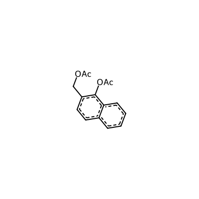 CC(=O)OCc1ccc2ccccc2c1OC(C)=O